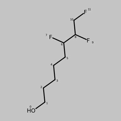 OCCCCCC(F)C(F)CF